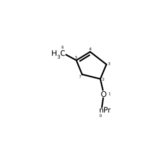 CCCOC1CC=C(C)C1